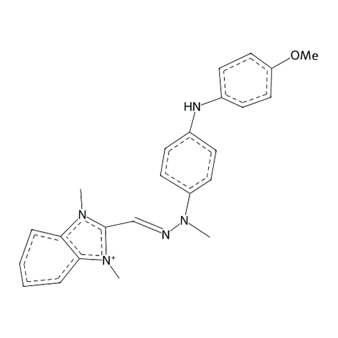 COc1ccc(Nc2ccc(N(C)/N=C/c3n(C)c4ccccc4[n+]3C)cc2)cc1